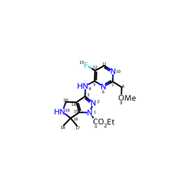 CCOC(=O)n1nc(Nc2nc(COC)ncc2F)c2c1C(C)(C)NC2